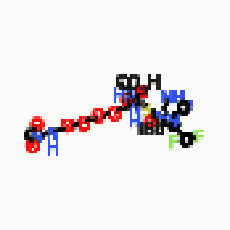 CC(C)(C)[C@H](c1cc(-c2cc(F)ccc2F)cn1Cc1ccccc1)N(CCCN)C(=O)CSC[C@H](NC(=O)CCOCCOCCOCCOCCNCCN1C(=O)C=CC1=O)C(=O)NCCC(=O)O